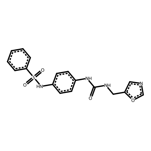 O=C(NCc1cnco1)Nc1ccc(NS(=O)(=O)c2ccccc2)cc1